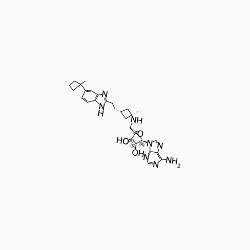 CC1(c2ccc3[nH]c(CC[C@H]4C[C@](C)(NC[C@H]5O[C@@H](n6cnc7c(N)ncnc76)[C@@H](O)[C@H]5O)C4)nc3c2)CCC1